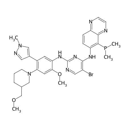 COCC1CCCN(c2cc(OC)c(Nc3ncc(Br)c(Nc4ccc5nccnc5c4P(C)C)n3)cc2-c2cnn(C)c2)C1